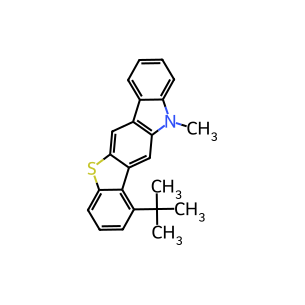 Cn1c2ccccc2c2cc3sc4cccc(C(C)(C)C)c4c3cc21